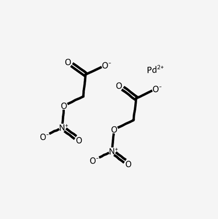 O=C([O-])CO[N+](=O)[O-].O=C([O-])CO[N+](=O)[O-].[Pd+2]